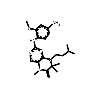 COc1cc(N)ccc1Nc1ncc2c(n1)N(CCC(C)C)C(C)(C)C(=O)N2C